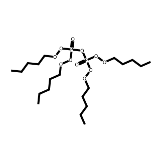 CCCCCOOP(=O)(OOCCCCC)OP(=O)(OOCCCCC)OOCCCCC